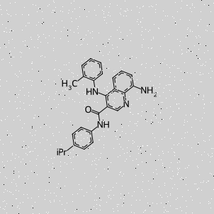 Cc1ccccc1Nc1c(C(=O)Nc2ccc(C(C)C)cc2)cnc2c(N)cccc12